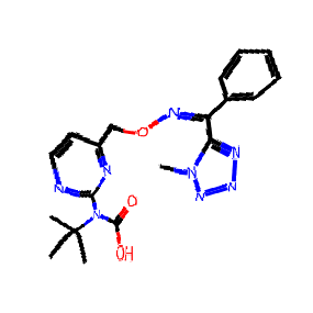 Cn1nnnc1C(=NOCc1ccnc(N(C(=O)O)C(C)(C)C)n1)c1ccccc1